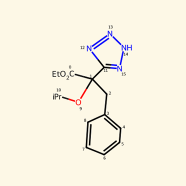 CCOC(=O)C(Cc1ccccc1)(OC(C)C)c1nn[nH]n1